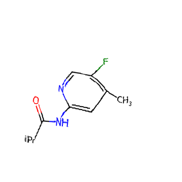 Cc1cc(NC(=O)C(C)C)ncc1F